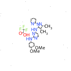 COc1ccc(Nc2nccc(Nc3c(C)c(C)nn3-c3ccccn3)n2)cc1OC.O=C(O)C(F)(F)F